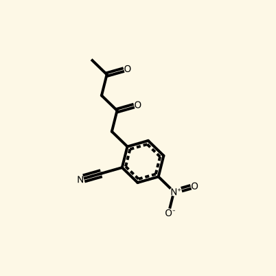 CC(=O)CC(=O)Cc1ccc([N+](=O)[O-])cc1C#N